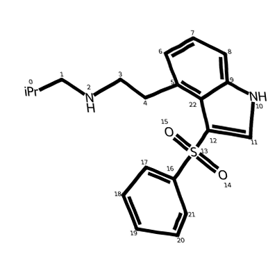 CC(C)CNCCc1cccc2[nH]cc(S(=O)(=O)c3ccccc3)c12